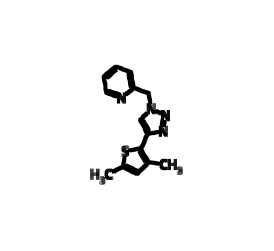 Cc1cc(C)c(-c2cn(Cc3ccccn3)nn2)s1